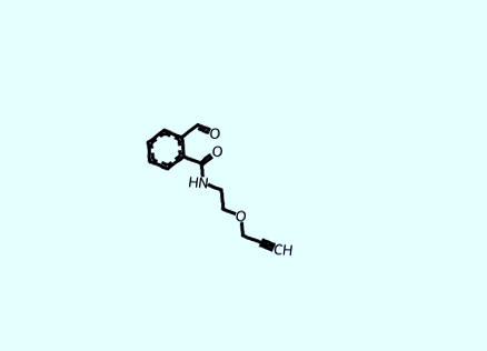 C#CCOCCNC(=O)c1ccccc1C=O